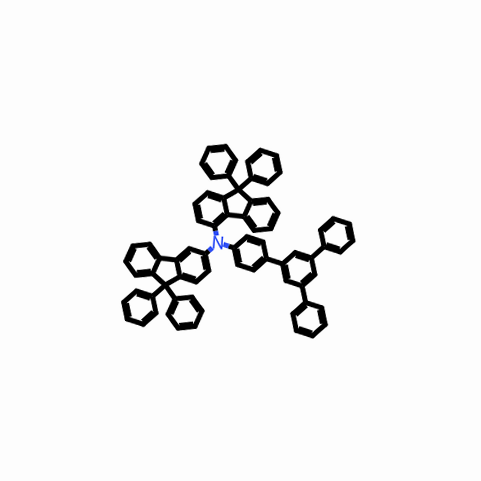 c1ccc(-c2cc(-c3ccccc3)cc(-c3ccc(N(c4ccc5c(c4)-c4ccccc4C5(c4ccccc4)c4ccccc4)c4cccc5c4-c4ccccc4C5(c4ccccc4)c4ccccc4)cc3)c2)cc1